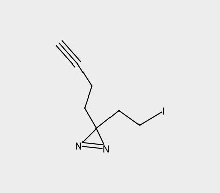 C#CCCC1(CCI)N=N1